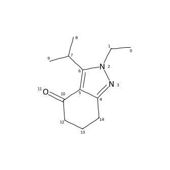 CCn1nc2c(c1C(C)C)C(=O)CCC2